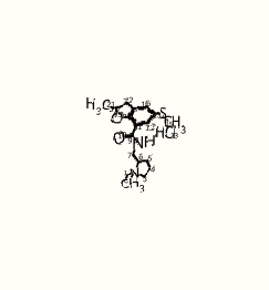 CCN1CCCC1CNC(=O)c1cc(SC)cc2c1OC(C)C2.Cl